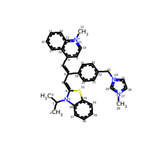 CC(C)N1/C(=C/C(=C/c2cc[n+](C)c3ccccc23)c2ccc(Cn3cc[n+](C)c3)cc2)Sc2ccccc21